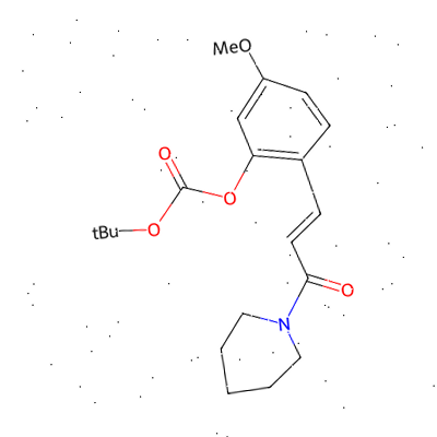 COc1ccc(/C=C/C(=O)N2CCCCC2)c(OC(=O)OC(C)(C)C)c1